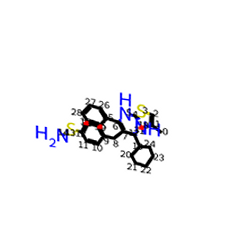 Cc1csc(N/C(=C(/Cc2ccc(SN)cc2)C(=N)C2CCCCC2)c2ccccc2)n1